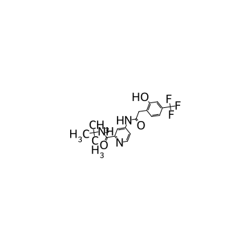 CC(C)(C)NC(=O)c1cc(NC(=O)Cc2ccc(C(F)(F)F)cc2O)ccn1